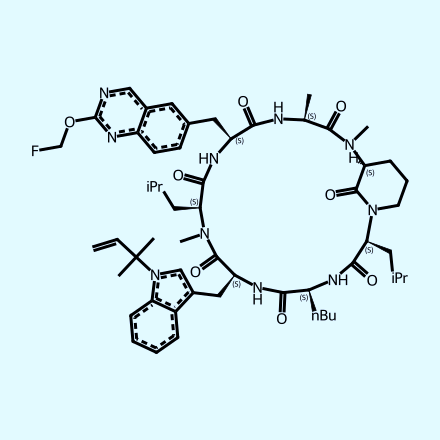 C=CC(C)(C)n1cc(C[C@@H]2NC(=O)[C@H](CCCC)NC(=O)[C@H](CC(C)C)N3CCC[C@@H](C3=O)N(C)C(=O)[C@H](C)NC(=O)[C@H](Cc3ccc4nc(OCF)ncc4c3)NC(=O)[C@H](CC(C)C)N(C)C2=O)c2ccccc21